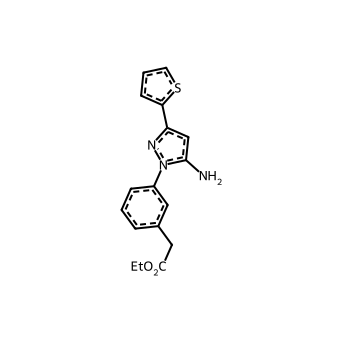 CCOC(=O)Cc1cccc(-n2nc(-c3cccs3)cc2N)c1